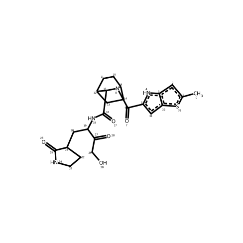 Cc1cc2[nH]c(C(=O)N3C4CCC(CC4)C3C(=O)NC(CC3CCNC3=O)C(=O)CO)cc2s1